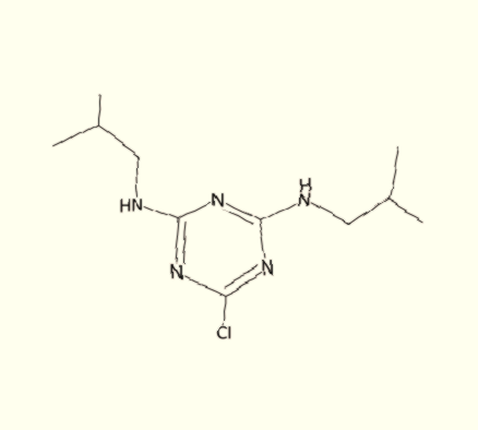 CC(C)CNc1nc(Cl)nc(NCC(C)C)n1